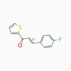 O=C(/C=C/c1ccc(F)cc1)c1cccs1